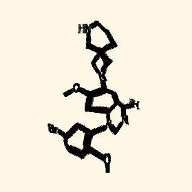 [2H]C1=NCN(c2cc(Br)ccc2OC)c2cc(OC)c(N3CC4(CCCNC4)C3)cc21